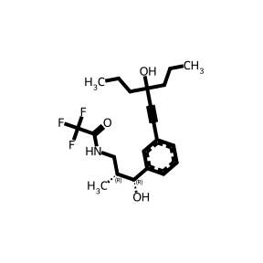 CCCC(O)(C#Cc1cccc([C@H](O)[C@H](C)CNC(=O)C(F)(F)F)c1)CCC